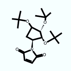 CC(C)(C)OC1C[C@H](N2C(=O)C=CC2=O)[C@H](OC(C)(C)C)[C@H]1OC(C)(C)C